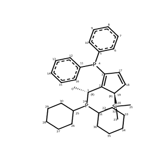 C[C@H](C1=C(P(c2ccccc2)c2ccccc2)C=C[C@H]1[Si](C)(C)C)P(C1CCCCC1)C1CCCCC1